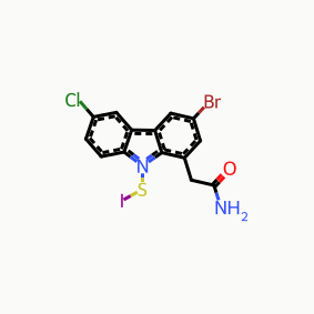 NC(=O)Cc1cc(Br)cc2c3cc(Cl)ccc3n(SI)c12